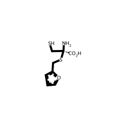 N[C@](CS)(SCc1ccco1)C(=O)O